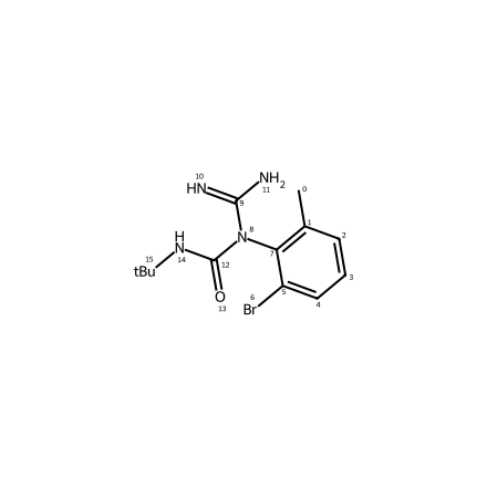 Cc1cccc(Br)c1N(C(=N)N)C(=O)NC(C)(C)C